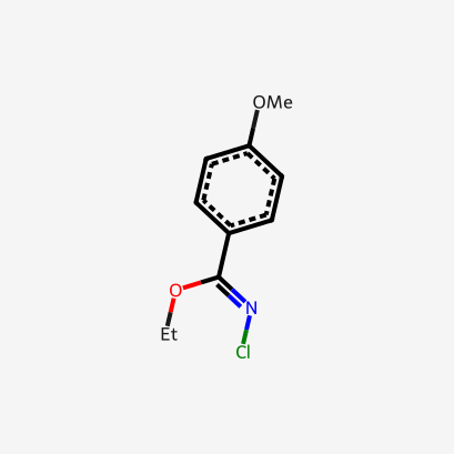 CCO/C(=N\Cl)c1ccc(OC)cc1